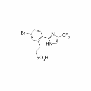 O=S(=O)(O)CCc1cc(Br)ccc1-c1nc(C(F)(F)F)c[nH]1